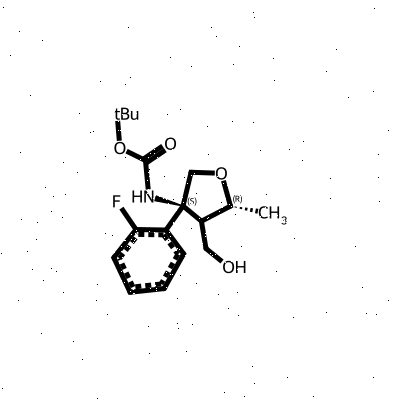 C[C@H]1OC[C@@](NC(=O)OC(C)(C)C)(c2ccccc2F)C1CO